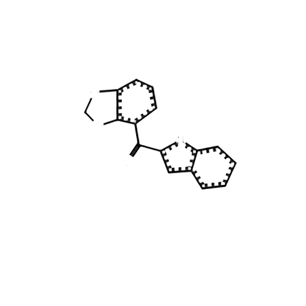 O=C(c1cc2ccccc2[nH]1)c1cccc2c1OCO2